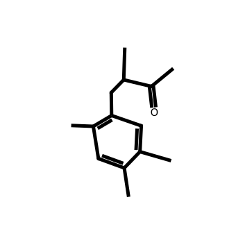 CC(=O)C(C)Cc1cc(C)c(C)cc1C